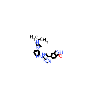 CC(C)N1CC2C1CN2c1cccc(Nc2ncc(-c3ccc4c(c3)CNC4=O)n3ncnc23)c1